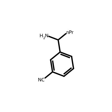 CCCC(N)c1cccc(C#N)c1